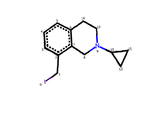 ICc1cccc2c1CN(C1CC1)CC2